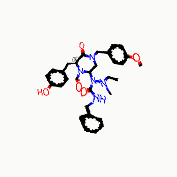 CCN(C)N(C(=O)NCc1ccccc1)C1CN(Cc2ccc(OC)cc2)C(=O)[C@H](Cc2ccc(O)cc2)N1C=O